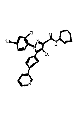 CCc1c(C(=O)NC2CCCCC2)nn(-c2ccc(Cl)cc2Cl)c1-c1ccc(-c2cccnc2)cc1